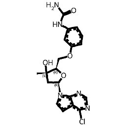 C[C@]1(O)C[C@H](n2ccc3c(Cl)ncnc32)O[C@@H]1COc1cccc(NC(N)=O)c1